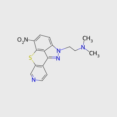 CN(C)CCn1nc2c3c(c([N+](=O)[O-])ccc31)Sc1cnccc1-2